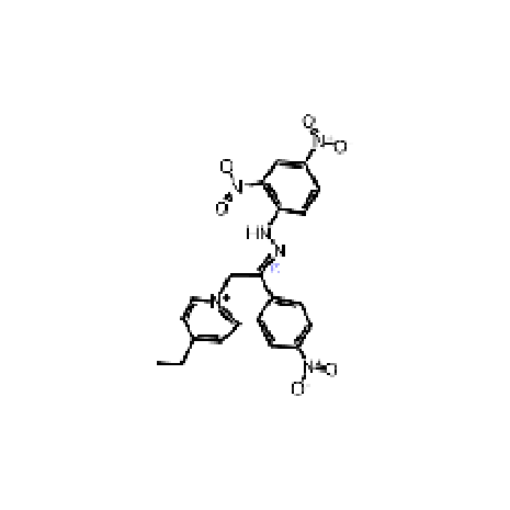 CCc1cc[n+](C/C(=N\Nc2ccc([N+](=O)[O-])cc2[N+](=O)[O-])c2ccc([N+](=O)[O-])cc2)cc1